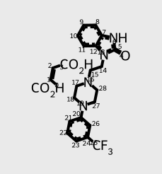 O=C(O)/C=C\C(=O)O.O=c1[nH]c2ccccc2n1CCN1CCN(c2cccc(C(F)(F)F)c2)CC1